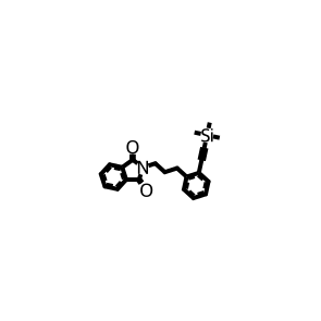 C[Si](C)(C)C#Cc1ccccc1CCCN1C(=O)c2ccccc2C1=O